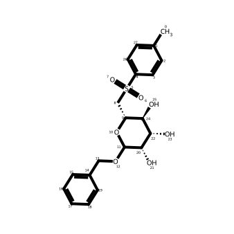 Cc1ccc(S(=O)(=O)C[C@H]2OC(OCc3ccccc3)[C@@H](O)[C@@H](O)[C@@H]2O)cc1